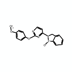 [O-][S+]1c2ccccc2CN1c1ccnc(Oc2ccc(OC(F)(F)F)cc2)n1